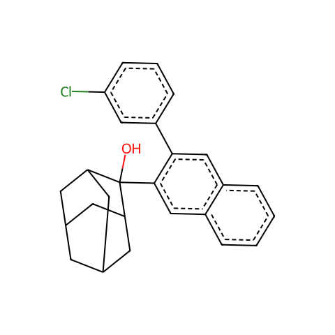 OC1(c2cc3ccccc3cc2-c2cccc(Cl)c2)C2CC3CC(C2)CC1C3